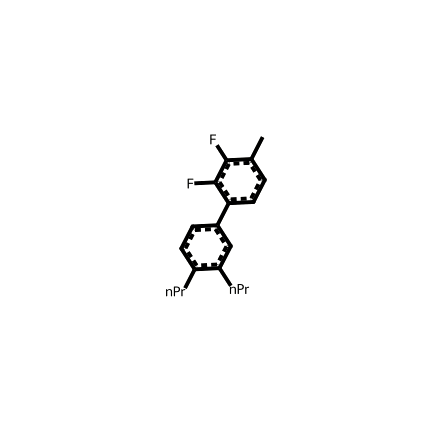 CCCc1ccc(-c2ccc(C)c(F)c2F)cc1CCC